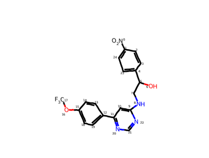 O=[N+]([O-])c1ccc(C(O)CNc2cc(-c3ccc(OC(F)(F)F)cc3)ncn2)cc1